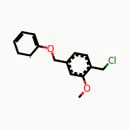 COc1cc(COC2=CC=CC[CH]2)ccc1CCl